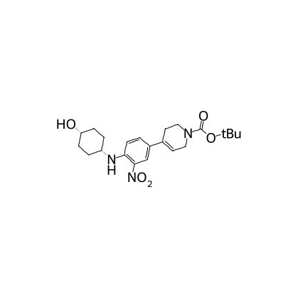 CC(C)(C)OC(=O)N1CC=C(c2ccc(N[C@H]3CC[C@@H](O)CC3)c([N+](=O)[O-])c2)CC1